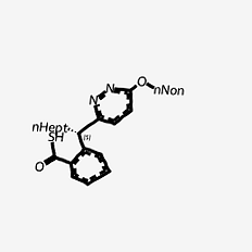 CCCCCCCCCOc1ccc([C@@H](CCCCCCC)c2ccccc2C(=O)S)nn1